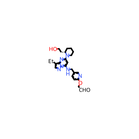 CCc1cnn2c(NCc3ccc(OCC=O)nc3)cc(N3CCCC[C@H]3CCO)nc12